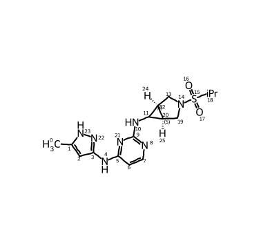 Cc1cc(Nc2ccnc(NC3[C@H]4CN(S(=O)(=O)C(C)C)C[C@@H]34)n2)n[nH]1